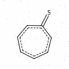 S=c1cccccc1